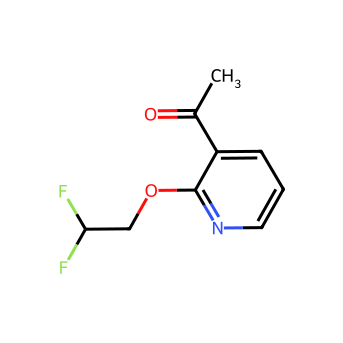 CC(=O)c1cccnc1OCC(F)F